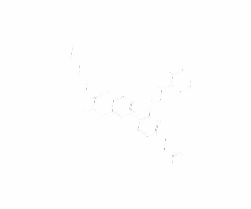 CCCCCCCC(=O)N(C)Cc1cccc(-c2ccc(CCC(=O)O)cc2OCCN2CCOCC2)c1